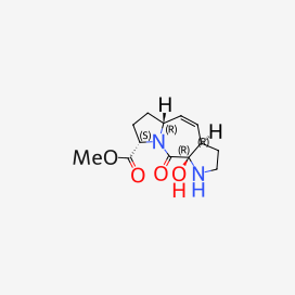 COC(=O)[C@@H]1CC[C@@H]2C=C[C@H]3CCN[C@]3(O)C(=O)N21